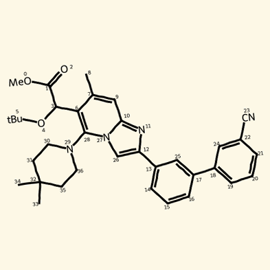 COC(=O)C(OC(C)(C)C)c1c(C)cc2nc(-c3cccc(-c4cccc(C#N)c4)c3)cn2c1N1CCC(C)(C)CC1